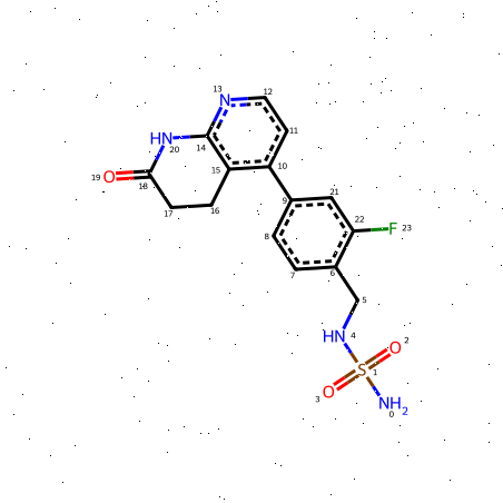 NS(=O)(=O)NCc1ccc(-c2ccnc3c2CCC(=O)N3)cc1F